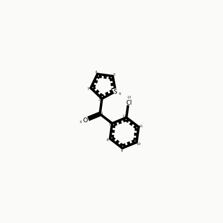 O=C(c1cccs1)c1ccccc1Cl